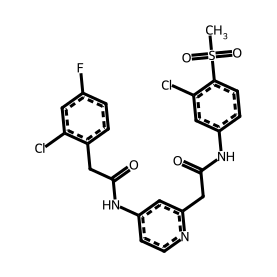 CS(=O)(=O)c1ccc(NC(=O)Cc2cc(NC(=O)Cc3ccc(F)cc3Cl)ccn2)cc1Cl